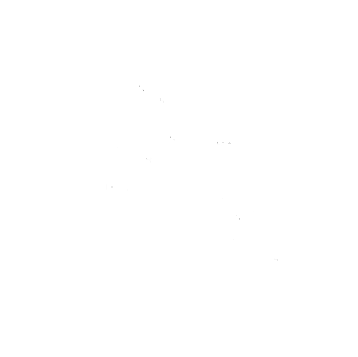 COc1cc(N2CCC(N)CC2)ccc1-c1nc2c(c(C3CCCCC3)nn2C)c(=O)[nH]1.CS(=O)(=O)O